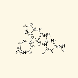 CNc1cc(C)nc(Nc2cc3c(c(C4=CCN[C@@H](C)CC4)c2Cl)OCC3)n1